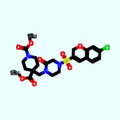 CC(C)(C)OC(=O)N1CCC(CN2CCN(S(=O)(=O)C3=Cc4ccc(Cl)cc4OC3)CC2=O)(C(=O)OC(C)(C)C)CC1